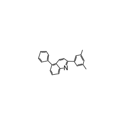 Cc1cc(C)cc(-c2ccc3c(-c4ccccc4)cccc3n2)c1